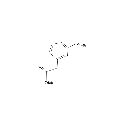 COC(=O)Cc1cccc(SC(C)(C)C)c1